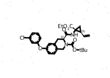 C=C[C@@H]1C[C@]1(NC(=O)[C@@H]1Cc2cc(Oc3cccc(Cl)c3)ccc2CN1C(=O)OC(C)(C)C)C(=O)OCC